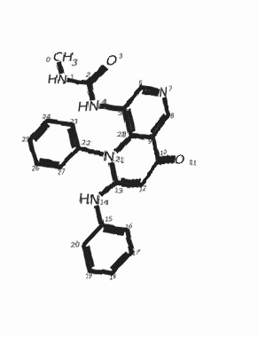 CNC(=O)Nc1cncc2c(=O)cc(Nc3ccccc3)n(-c3ccccc3)c12